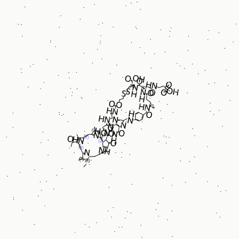 CC[C@H]1C2Cc3[nH]c4c(c3C)C(=O)C(C(=O)OC)/C4=C3N=C(/C=c4\[nH]/c(c(C(C)=O)c4C)=C\C(=N2)[C@@H]1C)[C@@H](C)[C@@H]/3CCC(=O)NCCNC(=O)OCCSSC[C@H](NC(=O)[C@H](CC(=O)NCCS(=O)(=O)O)NC(=O)CC[C@@H](C)NC(=O)c1ccc(NCc2cnc3nc(N)[nH]c(=O)c3n2)cc1)C(=O)O